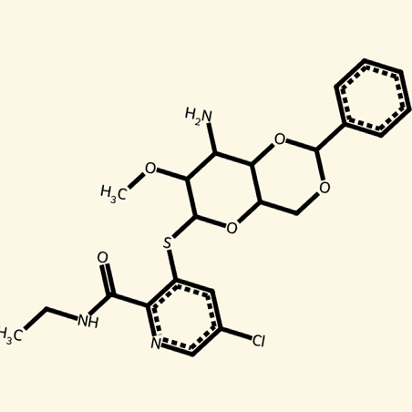 CCNC(=O)c1ncc(Cl)cc1SC1OC2COC(c3ccccc3)OC2C(N)C1OC